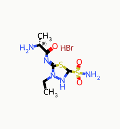 Br.CCN1NC(S(N)(=O)=O)SC1=NC(=O)[C@@H](C)N